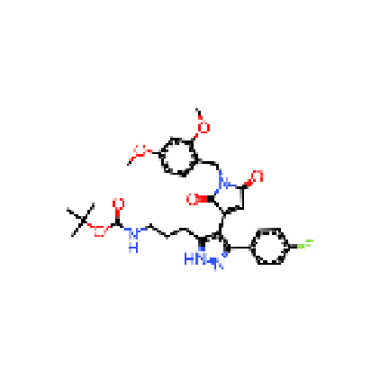 COc1ccc(CN2C(=O)C=C(c3c(-c4ccc(F)cc4)n[nH]c3CCCNC(=O)OC(C)(C)C)C2=O)c(OC)c1